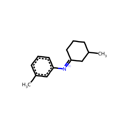 Cc1cccc(/N=C2\CCCC(C)C2)c1